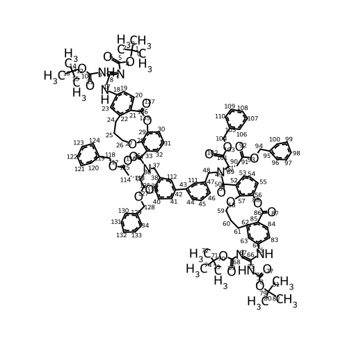 CC(C)(C)OC(=O)N=C(NC(=O)OC(C)(C)C)Nc1ccc2c(c1)CCCOc1c(cccc1C(=O)N(Cc1cccc(-c3cccc(CN(C(=O)c4cccc5c4OCCCc4cc(NC(=NC(=O)OC(C)(C)C)NC(=O)OC(C)(C)C)ccc4C(=O)O5)[C@@H](CC(=O)OCc4ccccc4)C(=O)OCc4ccccc4)c3)c1)[C@@H](CC(=O)OCc1ccccc1)C(=O)OCc1ccccc1)OC2=O